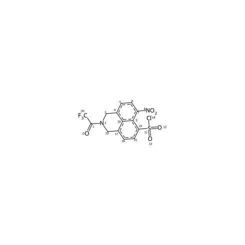 O=C(N1Cc2ccc([N+](=O)[O-])c3c(S(=O)(=O)Cl)ccc(c23)C1)C(F)(F)F